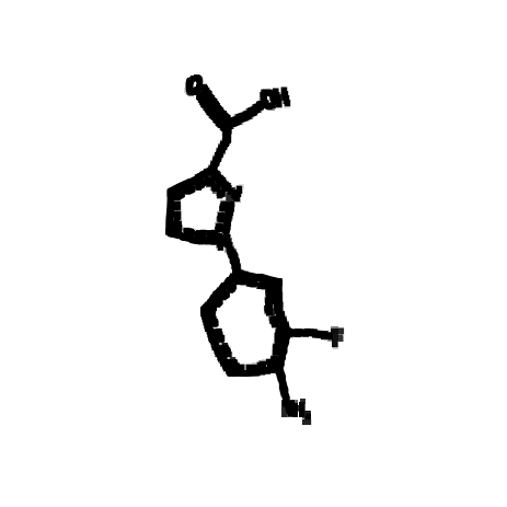 Nc1ccc(-n2ccc(C(=O)O)n2)cc1F